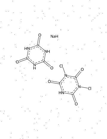 O=c1[nH]c(=O)[nH]c(=O)[nH]1.O=c1[nH]c(=O)n(Cl)c(=O)n1Cl.[NaH]